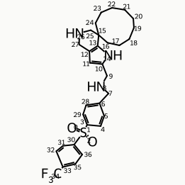 O=S(=O)(c1ccc(CNCc2cc3c([nH]2)C2(CCCCCCCCC2)CNC3)cc1)c1ccc(C(F)(F)F)cc1